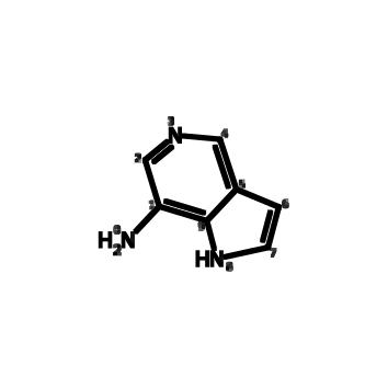 Nc1cncc2cc[nH]c12